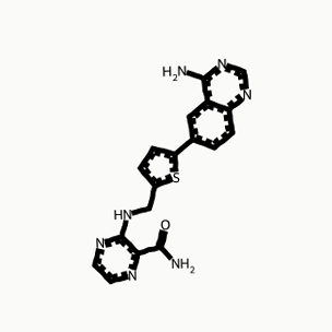 NC(=O)c1nccnc1NCc1ccc(-c2ccc3ncnc(N)c3c2)s1